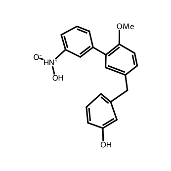 COc1ccc(Cc2cccc(O)c2)cc1-c1cccc([NH+]([O-])O)c1